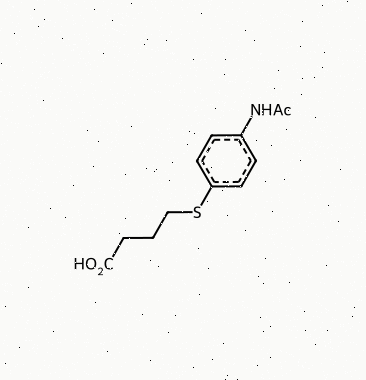 CC(=O)Nc1ccc(SCCCC(=O)O)cc1